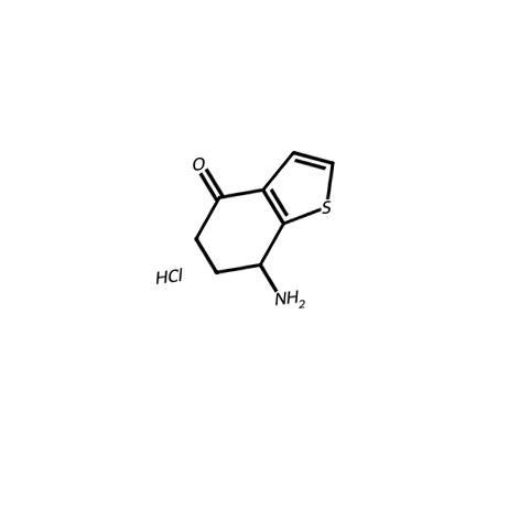 Cl.NC1CCC(=O)c2ccsc21